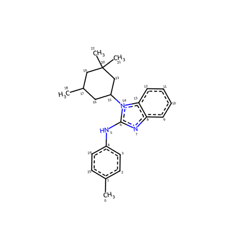 Cc1ccc(Nc2nc3ccccc3n2C2CC(C)CC(C)(C)C2)cc1